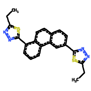 CCc1nnc(-c2ccc3ccc4c(-c5nnc(CC)s5)cccc4c3c2)s1